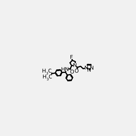 CC(C)c1ccc(C(NC(=O)C2CC(F)CN2C(=O)CCn2ccnn2)c2ccccc2)cc1